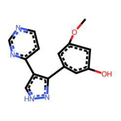 COc1cc(O)cc(-c2n[nH]cc2-c2ccncn2)c1